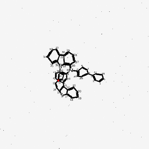 c1ccc(-c2ccc(N(c3ccc4ccc5sc6ccccc6c5c4c3)c3cccc4c5ccccc5n(-c5ccccc5)c34)cc2)cc1